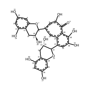 O=c1c(O)cc(C2Oc3cc(O)cc(O)c3C[C@@H]2O)cc2c(C3Oc4cc(O)cc(O)c4C[C@@H]3O)cc(O)c(O)c12